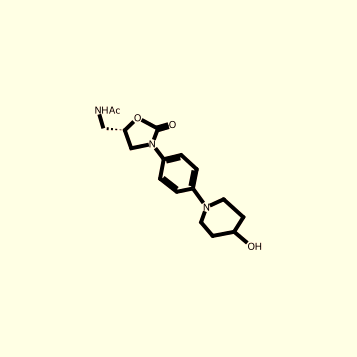 CC(=O)NC[C@H]1CN(c2ccc(N3CCC(O)CC3)cc2)C(=O)O1